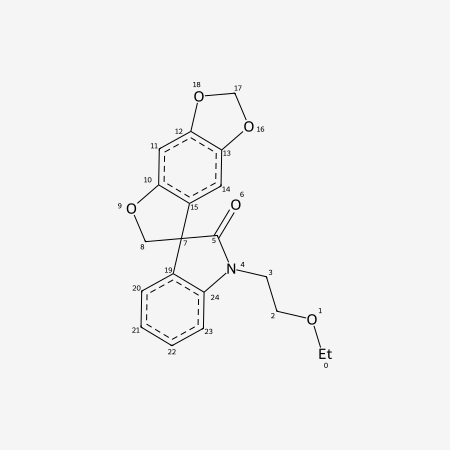 CCOCCN1C(=O)C2(COc3cc4c(cc32)OCO4)c2ccccc21